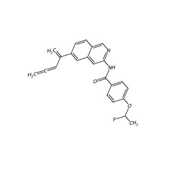 C=C=CC(=C)c1ccc2cnc(NC(=O)c3ccc(OC(C)F)cc3)cc2c1